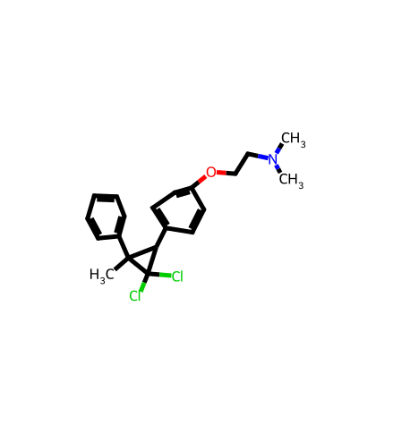 CN(C)CCOc1ccc(C2C(Cl)(Cl)C2(C)c2ccccc2)cc1